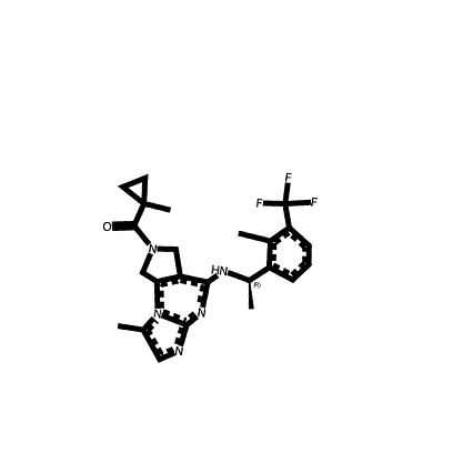 Cc1c([C@@H](C)Nc2nc3ncc(C)n3c3c2CN(C(=O)C2(C)CC2)C3)cccc1C(F)(F)F